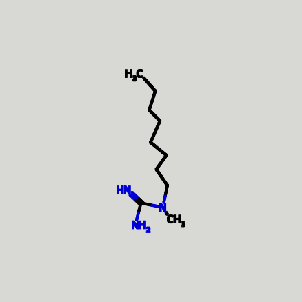 CCCCCCCCN(C)C(=N)N